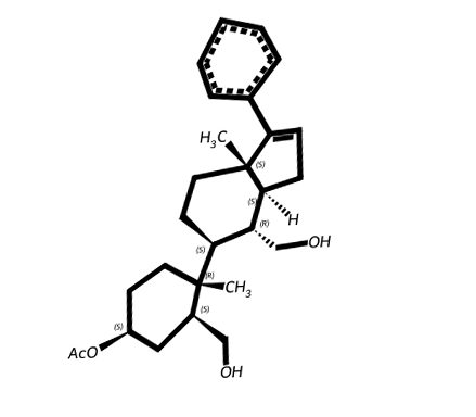 CC(=O)O[C@H]1CC[C@](C)([C@H]2CC[C@]3(C)C(c4ccccc4)=CC[C@H]3[C@@H]2CO)[C@@H](CO)C1